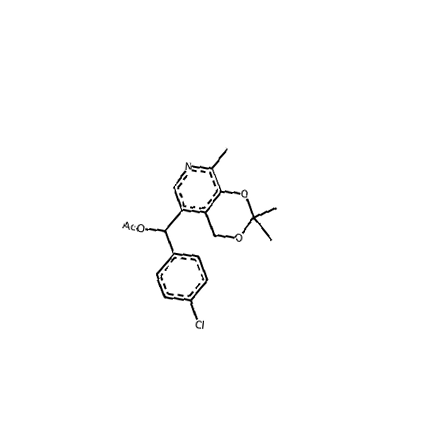 CC(=O)OC(c1ccc(Cl)cc1)c1cnc(C)c2c1COC(C)(C)O2